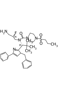 CCCS(=O)(=O)N1CCN(C(=O)N(C[C@H](F)CN)[C@@H](C2=NC(c3ccccc3)=CC2Cc2ccccc2)C(C)(C)C)CC1